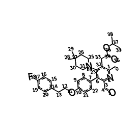 Cc1nc(C=O)c(-c2ccc(OCCc3ccc(F)cc3)cc2)c(N2CCC(C)(C)CC2)c1CC(=O)OC(C)C